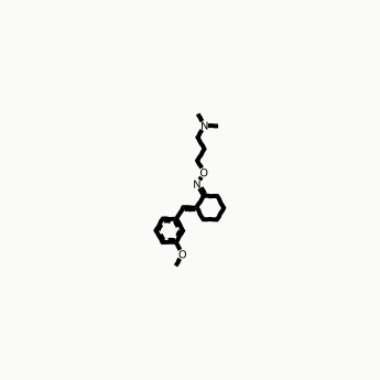 COc1cccc(C=C2CCCCC2=NOCCCN(C)C)c1